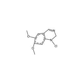 COc1cc2c(cc1OC)N(Cl)CN=C2